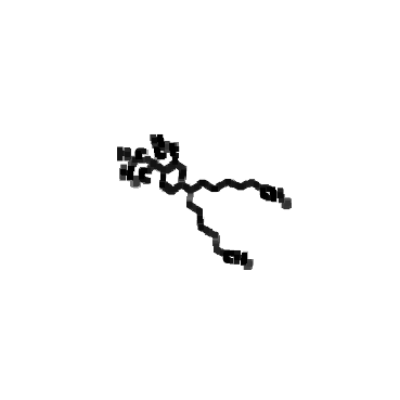 CCCCCCC(CCCCCC)c1ccc(C(C)(C)C)c(F)c1